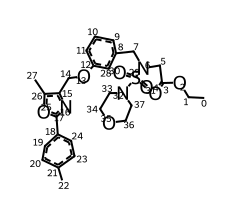 CCOC(=O)CN(Cc1cccc(OCc2nc(-c3ccc(C)cc3)oc2C)c1)S(=O)(=O)N1CCOCC1